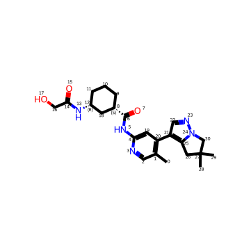 Cc1cnc(NC(=O)[C@H]2CCC[C@@H](NC(=O)CO)C2)cc1-c1cnn2c1CC(C)(C)C2